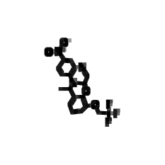 CC(c1cccc(OCC(F)(F)F)c1)n1c(=O)cnc2cc([N+](=O)[O-])ccc21